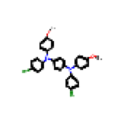 CCOc1ccc(N(c2ccc(Br)cc2)c2ccc(N(c3ccc(Br)cc3)c3ccc(OCC)cc3)cc2)cc1